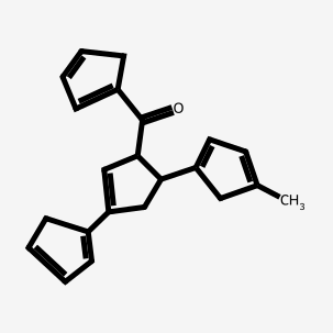 CC1=CC=C(C2CC(C3=CC=CC3)=CC2C(=O)C2=CC=CC2)C1